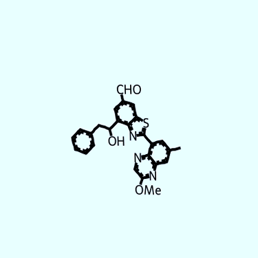 COc1cnc2c(-c3nc4c(C(O)Cc5ccccc5)cc(C=O)cc4s3)cc(C)cc2n1